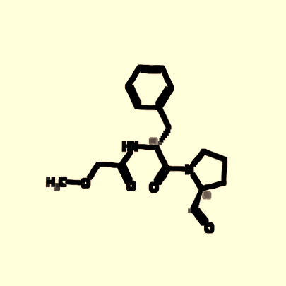 COCC(=O)N[C@H](Cc1ccccc1)C(=O)N1CCC[C@H]1[C]=O